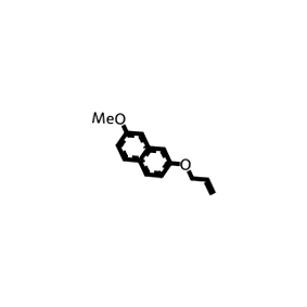 C=CCOc1ccc2ccc(OC)cc2c1